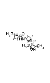 Cc1ccc(C(=O)Nc2ccn(Cc3c(C)noc3C)n2)o1